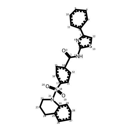 O=C(Nc1nc(-c2ccccc2)cs1)c1ccc(S(=O)(=O)N2CCCc3ccccc32)cc1